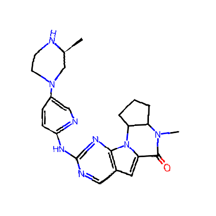 C[C@H]1CN(c2ccc(Nc3ncc4cc5n(c4n3)C3CCCC3N(C)C5=O)nc2)CCN1